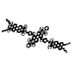 CCCCOC(=O)c1ccc2c3ccc4c5c(ccc(c6ccc(C(=O)OCCCC)c1c26)c53)C(=O)N(CCc1ccc(Oc2cc3c5c(ccc6c7c(Oc8ccc(CCN9C(=O)c%10ccc%11c%12ccc(CCCC)c%13c(CCCC)ccc(c%14ccc(c%10c%11%14)C9=O)c%13%12)cc8)cc8c9c(ccc(c2c56)c97)C(=O)N(C2CCCCC2)C8=O)C(=O)N(C2CCCCC2)C3=O)cc1)C4=O